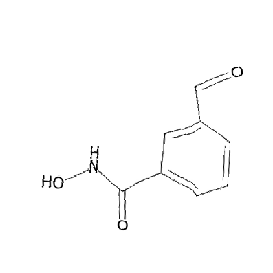 O=Cc1cccc(C(=O)NO)c1